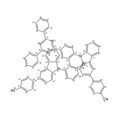 N#Cc1ccc(-c2ccc3c(c2)c2ccccc2n3-c2ccc(-c3nc(-c4ccccc4)nc(-c4ccccc4)n3)cc2-c2c(-n3c4ccccc4c4cc(-c5ccc(C#N)cc5)ccc43)cccc2C(F)(F)F)cc1